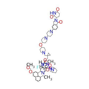 CCc1cccc2cc(OCOC)cc(-c3ncc4c(N5CC6CCC(C5)N6C(=O)OC(C)(C)C)nc(OCC5(CN6CCC(OC7CCN(C8CCN(c9ccc%10c(c9)CN(C9CCC(=O)NC9=O)C%10=O)CC8)CC7)CC6)CC5)nc4c3F)c12